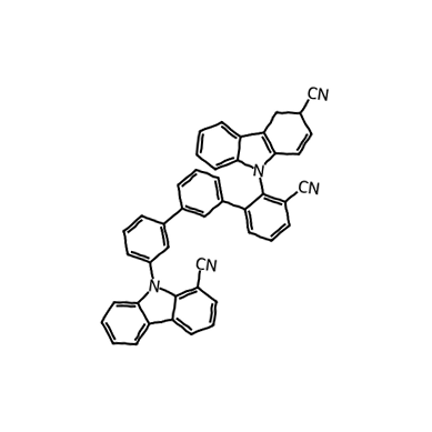 N#Cc1cccc(-c2cccc(-c3cccc(-n4c5ccccc5c5cccc(C#N)c54)c3)c2)c1-n1c2c(c3ccccc31)CC(C#N)C=C2